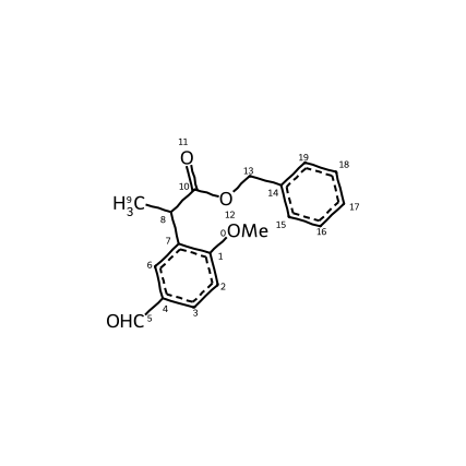 COc1ccc(C=O)cc1C(C)C(=O)OCc1ccccc1